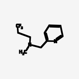 CN(CCC(F)(F)F)Cc1ccccn1